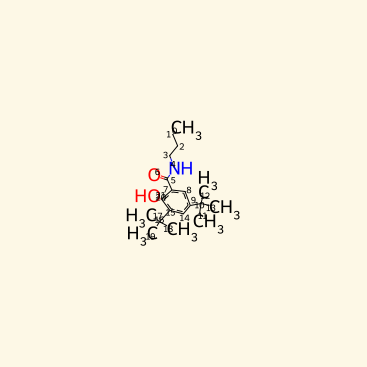 CCCCNC(=O)c1cc(C(C)(C)C)cc(C(C)(C)C)c1O